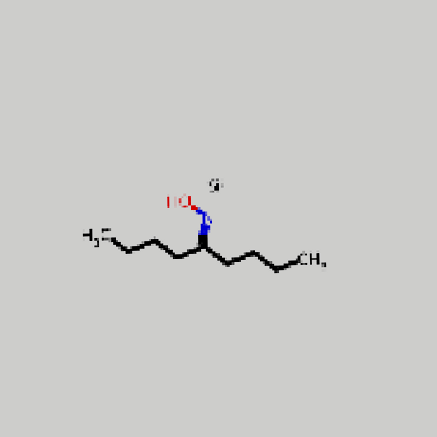 CCCCC(CCCC)=NO.[Si]